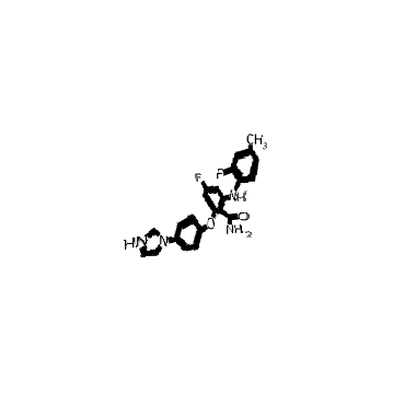 Cc1ccc(Nc2cc(F)cc(Oc3ccc(N4CCNC4)cc3)c2C(N)=O)c(F)c1